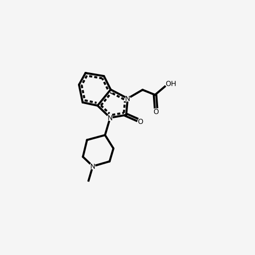 CN1CCC(n2c(=O)n(CC(=O)O)c3ccccc32)CC1